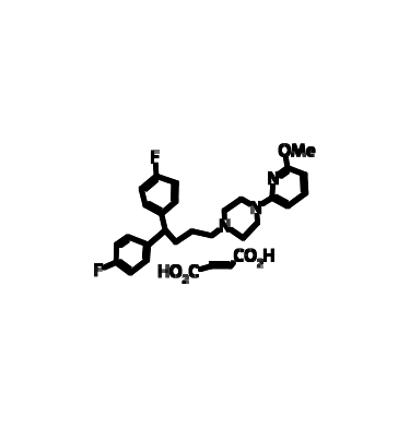 COc1cccc(N2CCN(CCCC(c3ccc(F)cc3)c3ccc(F)cc3)CC2)n1.O=C(O)/C=C/C(=O)O